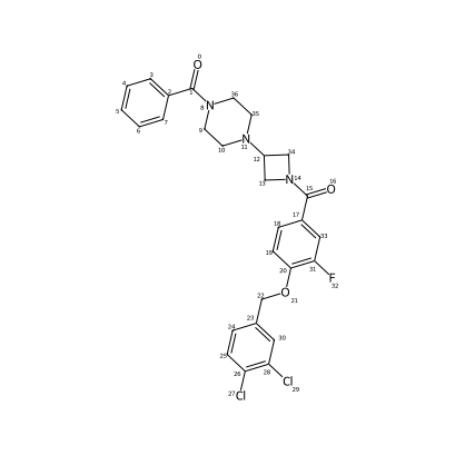 O=C(c1ccccc1)N1CCN(C2CN(C(=O)c3ccc(OCc4ccc(Cl)c(Cl)c4)c(F)c3)C2)CC1